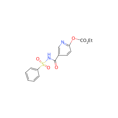 CCOC(=O)Oc1ccc(C(=O)NS(=O)(=O)c2ccccc2)cn1